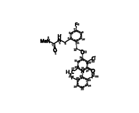 CNC(=O)NCc1cc(F)ccc1COc1cc(C)n(-c2c(F)cccc2F)c(=O)c1Cl